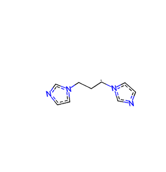 [CH](CCn1ccnc1)n1ccnc1